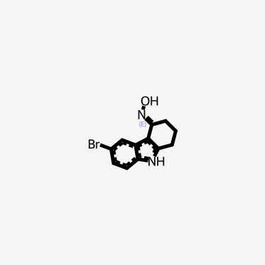 O/N=C1\CCCc2[nH]c3ccc(Br)cc3c21